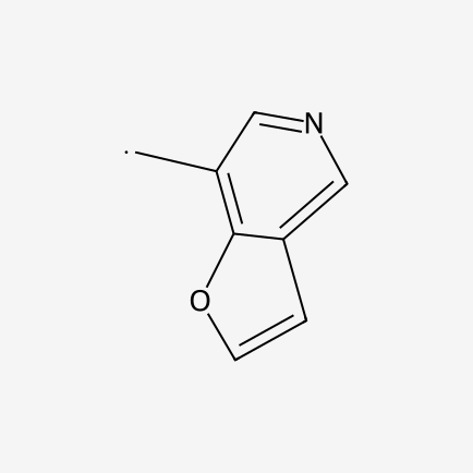 [CH2]c1cncc2ccoc12